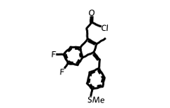 CSc1ccc(/C=C2/C(C)=C(CC(=O)Cl)c3cc(F)c(F)cc32)cc1